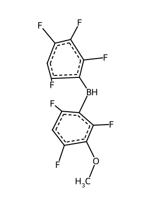 COc1c(F)cc(F)c(Bc2c(F)cc(F)c(F)c2F)c1F